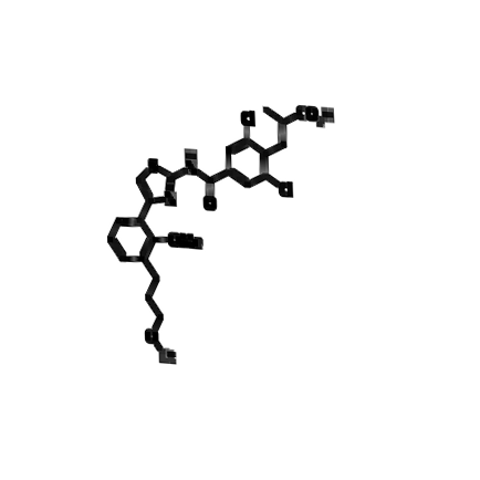 CCOCCCc1cccc(-c2csc(NC(=O)c3cc(Cl)c(/C=C(\C)C(=O)O)c(Cl)c3)n2)c1OC